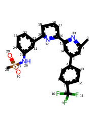 Cc1cc(-c2ccc(C(F)(F)F)cc2)cc(-c2cccc(-c3cccc(NS(C)(=O)=O)c3)n2)n1